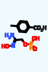 Cc1ccc(C(=O)O)cc1.NC(CO[PH](=O)O)=NO